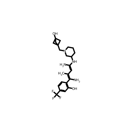 CC(/C=C(\N)NC1CCCN(CC23CC(O)(C2)C3)C1)=C(/N)c1ccc(C(F)(F)F)cc1O